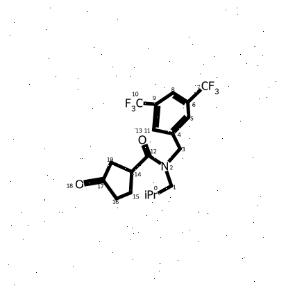 CC(C)CN(Cc1cc(C(F)(F)F)cc(C(F)(F)F)c1)C(=O)C1CCC(=O)C1